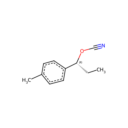 CC[C@@H](OC#N)c1ccc(C)cc1